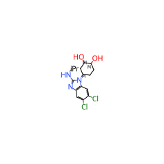 CC(C)Nc1nc2cc(Cl)c(Cl)cc2n1[C@@H]1CC[C@H](O)[C@H](O)C1